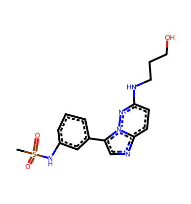 CS(=O)(=O)Nc1cccc(-c2cnc3ccc(NCCCO)nn23)c1